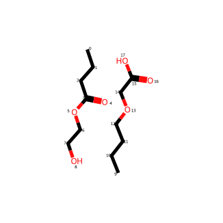 CCCC(=O)OCCO.CCCCOCC(=O)O